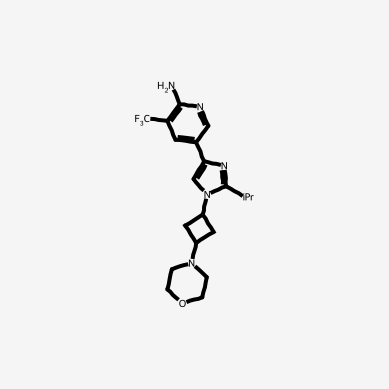 CC(C)c1nc(-c2cnc(N)c(C(F)(F)F)c2)cn1C1CC(N2CCOCC2)C1